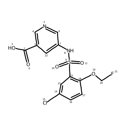 O=C(O)c1cncc(NS(=O)(=O)c2cc(Cl)ccc2OCF)c1